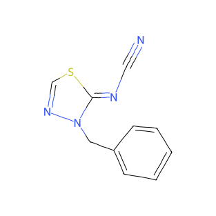 N#CN=c1scnn1Cc1ccccc1